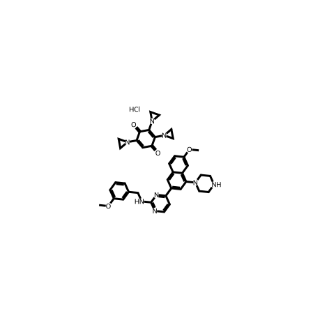 COc1cccc(CNc2nccc(-c3cc(N4CCNCC4)c4cc(OC)ccc4c3)n2)c1.Cl.O=C1C=C(N2CC2)C(=O)C(N2CC2)=C1N1CC1